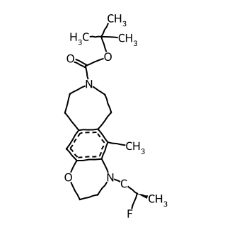 Cc1c2c(cc3c1N(C[C@@H](C)F)CCO3)CCN(C(=O)OC(C)(C)C)CC2